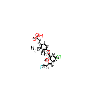 Cc1c(CCC(=O)O)ccc(OCc2cc(Cl)cc3cc(C=CF)oc23)c1C